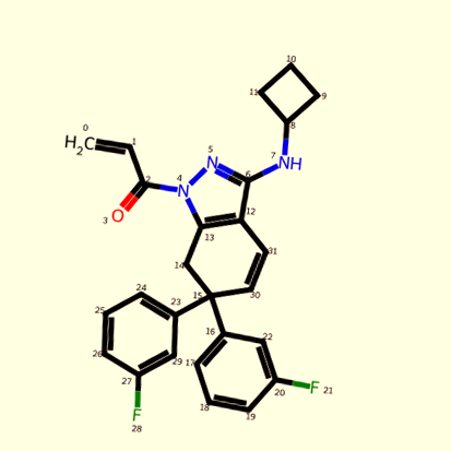 C=CC(=O)n1nc(NC2CCC2)c2c1CC(c1cccc(F)c1)(c1cccc(F)c1)C=C2